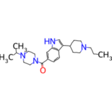 CCCN1CCC(c2c[nH]c3cc(C(=O)N4CCN(C(C)C)CC4)ccc23)CC1